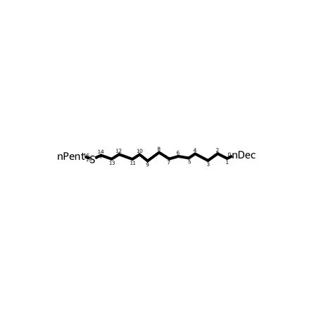 CCCCCCCCCCCCCCCCCCCCCCC[CH]SCCCCC